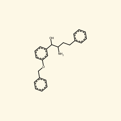 NC(CCc1ccccc1)C(O)c1cccc(OCc2ccccc2)c1